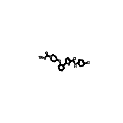 CC(C)(C)OC(=O)N1CCC(Oc2ccccc2-c2ccc(C(=O)Nc3ccc(Cl)cc3)o2)CC1